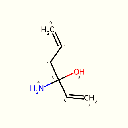 C=CCC(N)(O)C=C